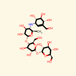 C[C@H]1O[C@H](O[C@H]2[C@H](O)[C@@H](O)[C@@H](O[C@H]3O[C@H](CO)[C@@H](O)[C@H](O)[C@H]3O)O[C@@H]2CO)[C@H](O)[C@@H](O)[C@@H]1N[C@H]1C=C(CO)[C@@H](O)[C@H](O)[C@H]1O